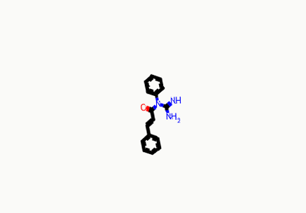 N=C(N)N(C(=O)C=Cc1ccccc1)c1ccccc1